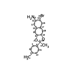 Cc1ccc(C2(C)Oc3cc4cc(N)c(Br)cc4cc3O2)cc1